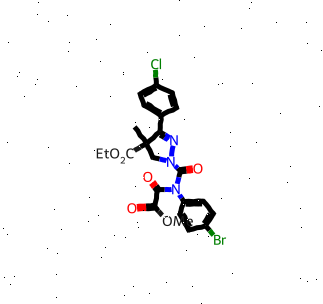 CCOC(=O)C1(C)CN(C(=O)N(C(=O)C(=O)OC)c2ccc(Br)cc2)N=C1c1ccc(Cl)cc1